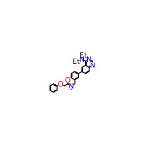 CCN(CC)c1ncnc2ccc(-c3cccc(CN(C)C(=O)COc4ccccc4)c3)cc12